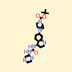 CC(C)(C)OC(=O)N1CC2CC1CN2c1ccc2c(NC(=O)Nc3cnccn3)ccnc2c1